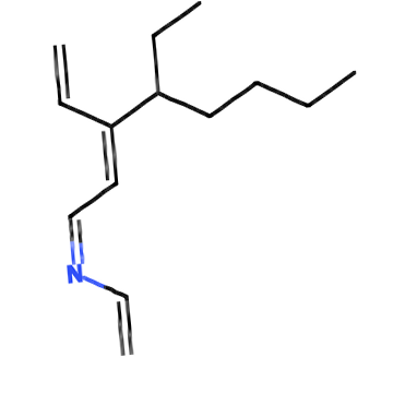 C=C/N=C\C=C(/C=C)C(CC)CCCC